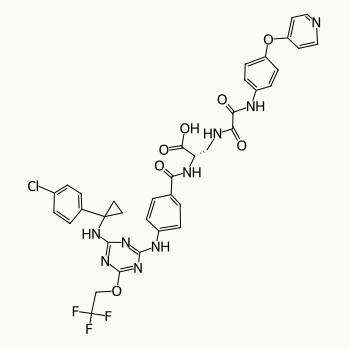 O=C(NC[C@H](NC(=O)c1ccc(Nc2nc(NC3(c4ccc(Cl)cc4)CC3)nc(OCC(F)(F)F)n2)cc1)C(=O)O)C(=O)Nc1ccc(Oc2ccncc2)cc1